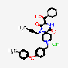 CC#CCN1C(=O)C(C(O)C2CCCCC2)NC(=O)C12CCN(Cc1ccc(Oc3ccc(C)cc3)cc1)CC2.Cl